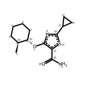 C[C@H]1CCCC[C@@H]1Oc1nc(C2CC2)sc1C(N)=O